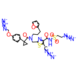 [N-]=[N+]=NCCS(=O)(=O)NC(=O)c1nc(CN(CCCc2ccco2)C(=O)C2(c3ccc(OCN=[N+]=[N-])cc3)CC2)sc1CN=[N+]=[N-]